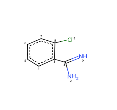 N=C(N)c1ccc[c]c1Cl